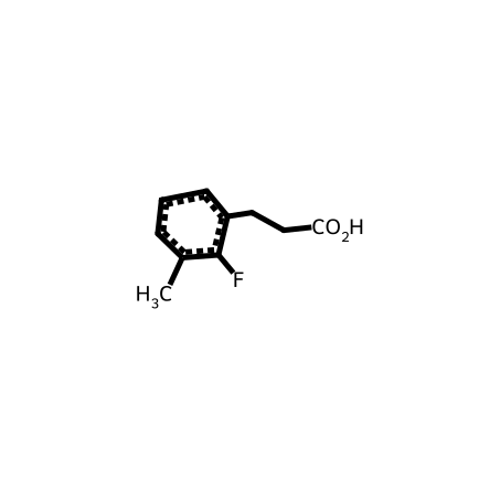 Cc1cccc(CCC(=O)O)c1F